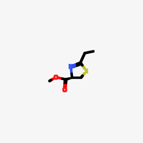 CCC1=N[C@H](C(=O)OC)CS1